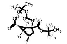 CC(C)(C)OC(=O)N[C@@]1(C(=O)OC(C)(C)C)C[C@@H](F)[C@H]2[C@H](C(=O)O)[C@H]21